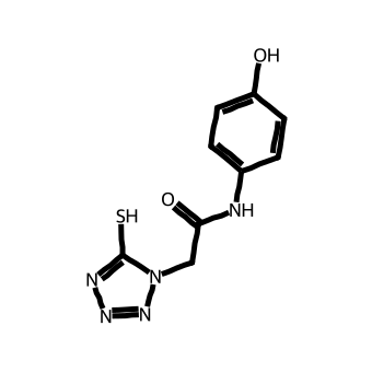 O=C(Cn1nnnc1S)Nc1ccc(O)cc1